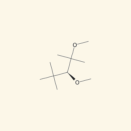 CO[C@@H](C(C)(C)C)C(C)(C)OC